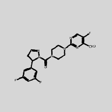 O=Cc1nc(N2CCN(C(=O)N3N=CCC3c3cc(F)cc(F)c3)CC2)ncc1F